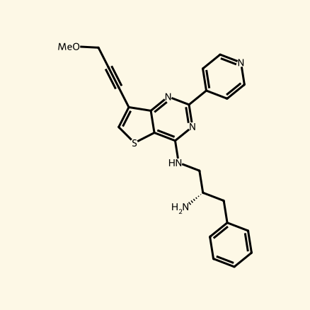 COCC#Cc1csc2c(NC[C@@H](N)Cc3ccccc3)nc(-c3ccncc3)nc12